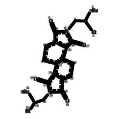 CCCCC(CC)Cn1c(=O)c2ccc3c(ccc4c(=O)n(CC(CC)CCCC)c(=O)c43)c2c1=O